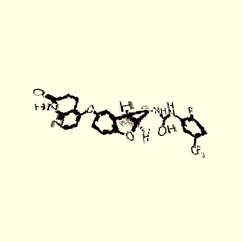 O=C1CCc2c(Oc3ccc4c(c3)[C@H]3[C@H](NC(O)Nc5cc(C(F)(F)F)ccc5F)[C@H]3O4)ccnc2N1